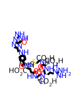 CSSC[C@H](NC(=O)[C@H](CC(=O)O)NC(=O)[C@H](CCCNC(=N)N)NC(=O)[C@H](CC(=O)O)NC(=O)CC[C@H](NC(=O)c1ccc(NCc2cnc3nc(N)[nH]c(=O)c3n2)cc1)C(=O)O)C(=O)O